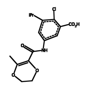 CC1=C(C(=O)Nc2cc(C(=O)O)c(Cl)c(C(C)C)c2)OCCO1